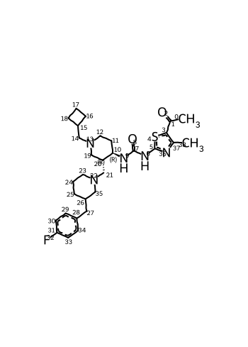 CC(=O)c1sc(NC(=O)N[C@@H]2CCN(CC3CCC3)C[C@H]2CN2CCCC(Cc3ccc(F)cc3)C2)nc1C